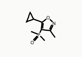 Cc1noc(C2CC2)c1P(C)(C)=O